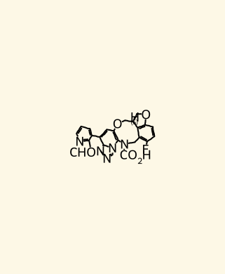 O=Cc1ncccc1-c1cc2c(n3cnnc13)N(C(=O)O)Cc1c(F)ccc3c1[C@@H](CO3)CO2